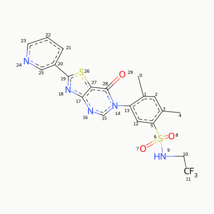 Cc1cc(C)c(S(=O)(=O)NCC(F)(F)F)cc1-n1cnc2nc(-c3cccnc3)sc2c1=O